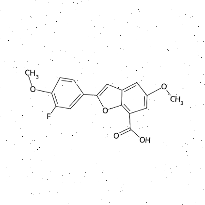 COc1cc(C(=O)O)c2oc(-c3ccc(OC)c(F)c3)cc2c1